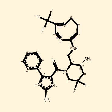 Cc1nc(C(=O)N2CC(F)(F)C[C@@H](C)C2CNC2=C/CC/C=C(C(F)(F)F)/C=N\2)c(-c2ccccn2)s1